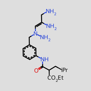 CCOC(=O)C(CC(C)C)C(=O)Nc1cccc(CN(N)/C=C(\N)CN)c1